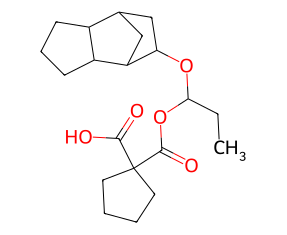 CCC(OC(=O)C1(C(=O)O)CCCC1)OC1CC2CC1C1CCCC21